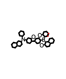 c1ccc(N(c2ccc3ccccc3c2)c2ccc3c(c2)oc2c4c5c(cc23)Oc2ccc3ccccc3c2B5c2c(ccc3ccccc23)O4)cc1